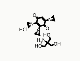 Cl.NC(CO)(CO)CO.O=C1C=C(N2CC2)C(=O)C(N2CC2)=C1N1CC1